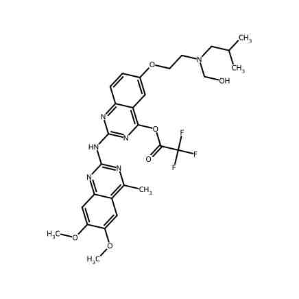 COc1cc2nc(Nc3nc(OC(=O)C(F)(F)F)c4cc(OCCN(CO)CC(C)C)ccc4n3)nc(C)c2cc1OC